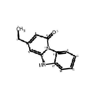 CCc1cc(=O)n2c(c1)[nH]c1ccccc12